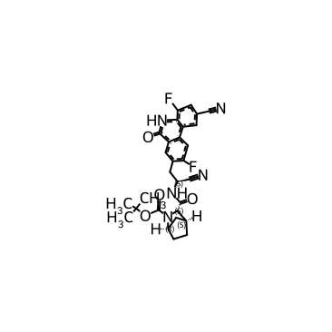 CC(C)(C)OC(=O)N1[C@@H]2CC[C@@H](C2)[C@H]1C(=O)N[C@H](C#N)Cc1cc2c(=O)[nH]c3c(F)cc(C#N)cc3c2cc1F